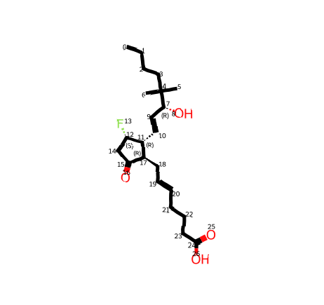 CCCCC(C)(C)[C@H](O)C=C[C@H]1[C@@H](F)CC(=O)[C@@H]1CC=CCCCC(=O)O